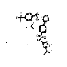 CCOc1cc(C(F)(F)F)ccc1C(=O)N[C@@H]1CCC[C@H]1C1C=CC(S(=O)(=O)Nc2nnc(C(C)C)s2)=CC1